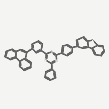 c1ccc(-c2nc(-c3ccc(-c4ccc5sc6ccccc6c5c4)cc3)nc(-c3cccc(-c4cc5ccccc5c5ccccc45)c3)n2)cc1